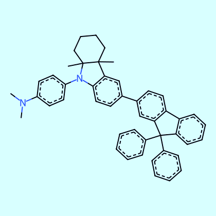 CN(C)c1ccc(N2c3ccc(-c4ccc5c(c4)C(c4ccccc4)(c4ccccc4)c4ccccc4-5)cc3C3(C)CCCCC23C)cc1